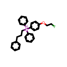 FCCOc1ccc([PH](CCCc2ccccc2)(c2ccccc2)c2ccccc2)cc1